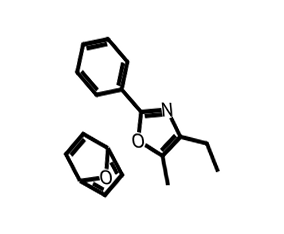 CCc1nc(-c2ccccc2)oc1C.c1cc2ccc1o2